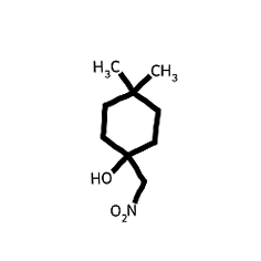 CC1(C)CCC(O)(C[N+](=O)[O-])CC1